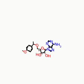 COc1ccc(C(C)OC[C@H]2O[C@@H](n3cnc4c(N)ncnc43)[C@H](O)[C@@H]2O)cc1